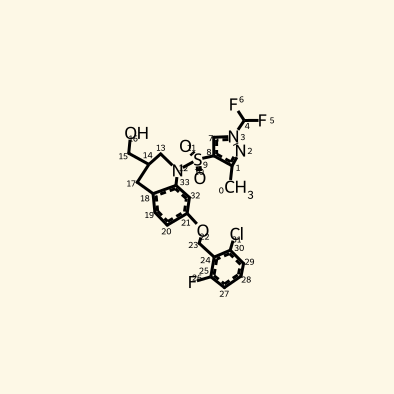 Cc1nn(C(F)F)cc1S(=O)(=O)N1CC(CO)Cc2ccc(OCc3c(F)cccc3Cl)cc21